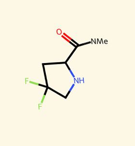 CNC(=O)C1CC(F)(F)CN1